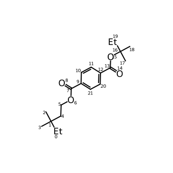 CCC(C)(C)CCOC(=O)c1ccc(C(=O)OC(C)(C)CC)cc1